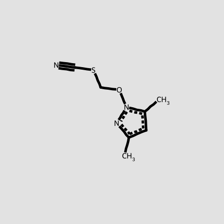 Cc1cc(C)n(OCSC#N)n1